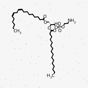 CCCCC/C=C\C/C=C\CCCCCCCC(=O)OC[C@H](COP(=O)(O)OCCN)OC(=O)CCCCCCCCCCCCCCC